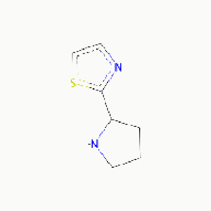 c1csc(C2CCC[N]2)n1